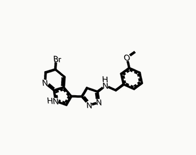 COc1cccc(CNC2=NN=C(c3c[nH]c4c3=CC(Br)CN=4)C2)c1